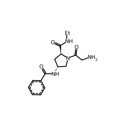 CCNC(=O)[C@@H]1C[C@@H](NC(=O)c2ccccc2)CN1C(=O)CN